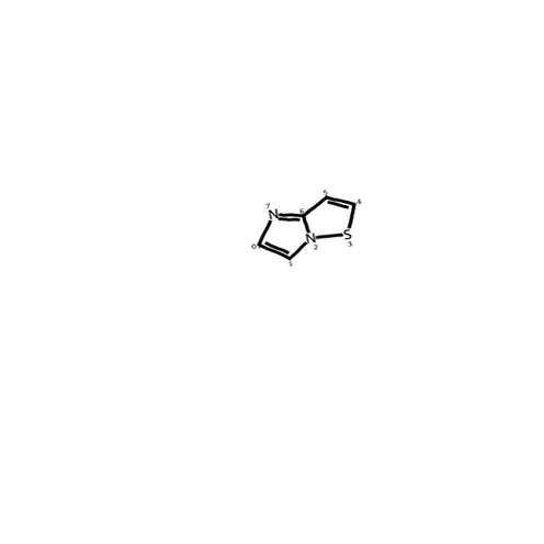 [c]1cn2sccc2n1